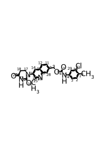 Cc1ccc(NC(=O)OCc2ccc3cc(N4CCC(=O)NC4=O)c(C)nc3c2)cc1Cl